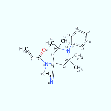 C=CC(=O)N(C)C1(C#N)CC(C)(C)N(c2ccccc2)C(C)(C)C1